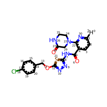 [2H]c1ccc(C(=O)Nc2nnc(OCc3ccc(Cl)cc3)s2)c(N2CCNC(=O)C2)n1